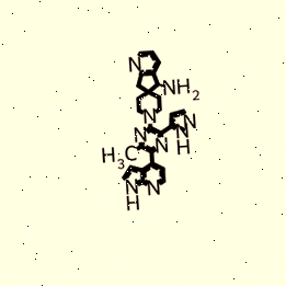 Cc1nc(N2CCC3(CC2)Cc2ncccc2[C@H]3N)c(-c2ccn[nH]2)nc1-c1ccnc2[nH]ccc12